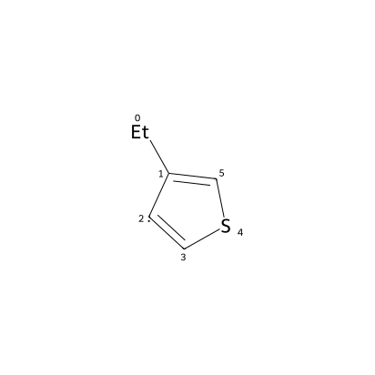 CCc1[c]csc1